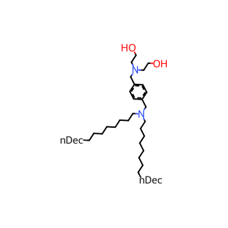 CCCCCCCCCCCCCCCCCCN(CCCCCCCCCCCCCCCCCC)Cc1ccc(CN(CCO)CCO)cc1